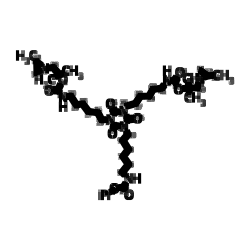 CC(C)OC(=O)NCCCCCCn1c(=O)n(CCCCCCNC(=O)OC(C)(C)CN2CC2C)c(=O)n(CCCCCCNC(=O)OC(C)(C)CN2CC2C)c1=O